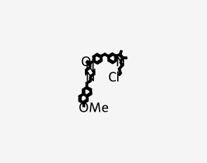 COc1ccc2cc(CCN3CCN(C(=O)c4ccc(Cc5ccc6c(c5)c(C)c(C)n6CCCCl)cc4)CC3)ccc2c1